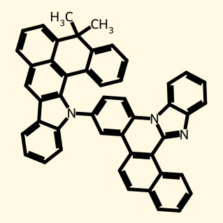 CC1(C)c2ccccc2-c2c3c1cccc3cc1c3ccccc3n(-c3ccc4c(c3)c3ccc5ccccc5c3c3nc5ccccc5n43)c21